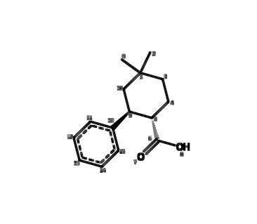 CC1(C)CC[C@H](C(=O)O)[C@@H](c2ccccc2)C1